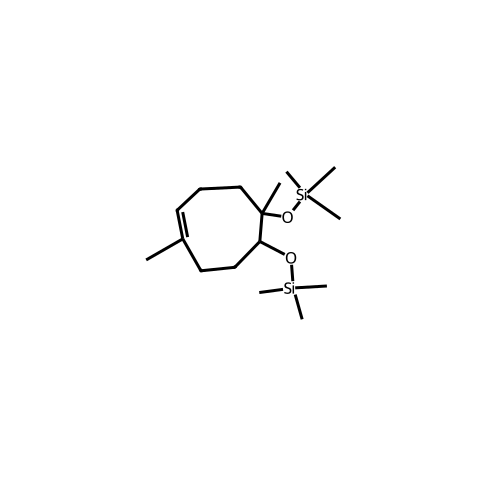 CC1=CCCC(C)(O[Si](C)(C)C)C(O[Si](C)(C)C)CC1